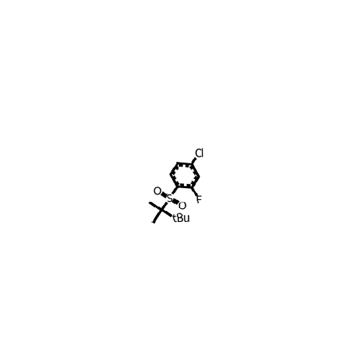 CC(C)(C)C(C)(C)S(=O)(=O)c1ccc(Cl)cc1F